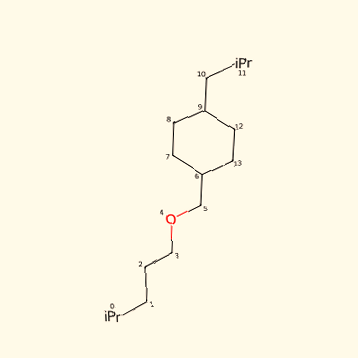 CC(C)CCCOCC1CCC(CC(C)C)CC1